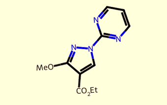 CCOC(=O)c1cn(-c2ncccn2)nc1OC